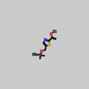 C=C(OCC)c1ncc(CO[Si](C)(C)C(C)(C)C)s1